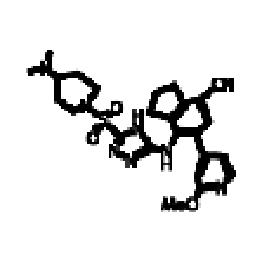 COc1cc(-c2cc(C#N)c3c(c2Nc2nnc(S(=O)(=O)N4CCC(N(C)C)CC4)[nH]2)CCC3)ccn1